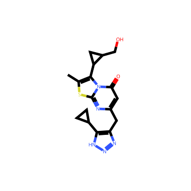 Cc1sc2nc(Cc3nn[nH]c3C3CC3)cc(=O)n2c1C1CC1CO